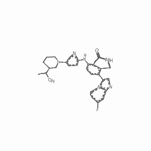 CC(O)[C@H]1CCCN(c2ccc(Nc3ccc(-c4cnc5cc(F)ccn45)c4c3C(=O)NC4)nc2)C1